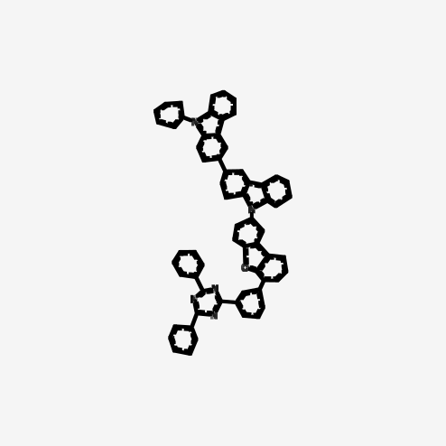 c1ccc(-c2nc(-c3ccccc3)nc(-c3cccc(-c4cccc5c4oc4ccc(-n6c7ccccc7c7cc(-c8ccc9c(c8)c8ccccc8n9-c8ccccc8)ccc76)cc45)c3)n2)cc1